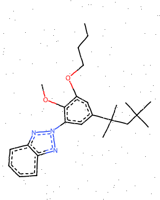 CCCCOc1cc(C(C)(C)CC(C)(C)C)cc(-n2nc3ccccc3n2)c1OC